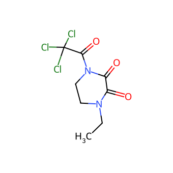 CCN1CCN(C(=O)C(Cl)(Cl)Cl)C(=O)C1=O